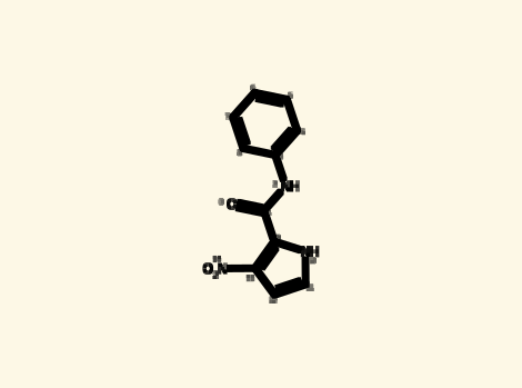 O=C(Nc1ccccc1)c1[nH]ccc1[N+](=O)[O-]